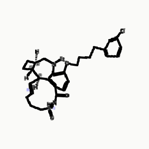 CCN1C[C@@H]2CC[C@H]2[C@@H]2/C=C/CCC/[SH](=O)=N\C(=O)c3ccc(OCCCCc4cccc(Cl)c4)c1c32